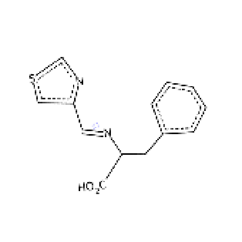 O=C(O)C(Cc1ccccc1)/N=C/c1cscn1